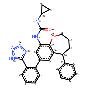 O=C(Nc1cc(-c2ccccc2-c2nnn[nH]2)cc2c1OCCCC2c1ccccc1)NC1CC1